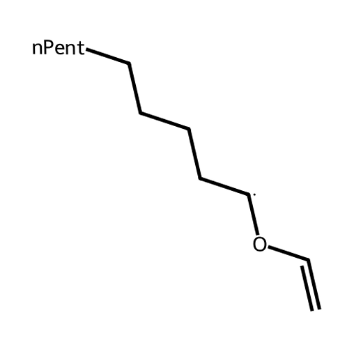 C=CO[CH]CCCCCCCCC